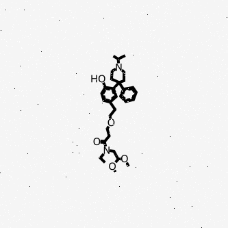 CCN(CC(OC)OC)C(=O)CCOCCc1ccc(O)c(C2(c3ccccc3)CCN(C(C)C)CC2)c1